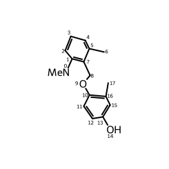 CNc1cccc(C)c1COc1ccc(O)cc1C